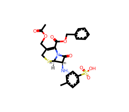 CC(=O)OCC1=C(C(=O)OCc2ccccc2)N2C(=O)[C@@H](N)[C@H]2SC1.Cc1ccc(S(=O)(=O)O)cc1